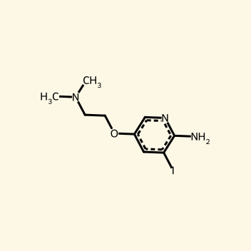 CN(C)CCOc1cnc(N)c(I)c1